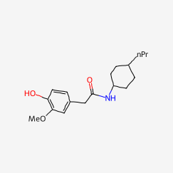 CCCC1CCC(NC(=O)Cc2ccc(O)c(OC)c2)CC1